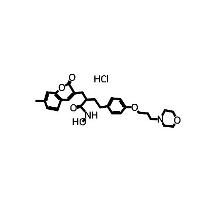 Cc1ccc2cc(CC(CCc3ccc(OCCCN4CCOCC4)cc3)C(=O)NO)c(=O)oc2c1.Cl